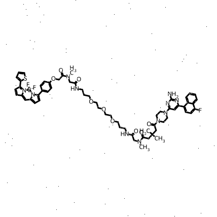 CN(CC(=O)NCCCOCCOCCOCCCNC(=O)CN(C)C(=O)CC(C)(C)CC(=O)N1CCN(c2cc(-c3ccc(F)c4ccccc34)nc(N)n2)CC1)C(=O)COc1ccc(-c2ccc3n2[B-](F)(F)[N+]2=C(c4cccs4)C=CC2=C3)cc1